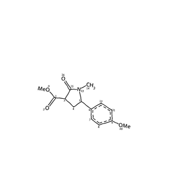 COC(=O)C1CC(c2ccc(OC)cc2)N(C)C1=O